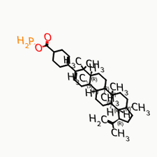 C=C(C)[C@@H]1CC[C@]2(C)CC[C@]3(C)[C@H](CC[C@@H]4[C@@]5(C)CC=C(C6=CCC(C(=O)OP)CC6)C(C)(C)[C@@H]5CC[C@]43C)[C@@H]12